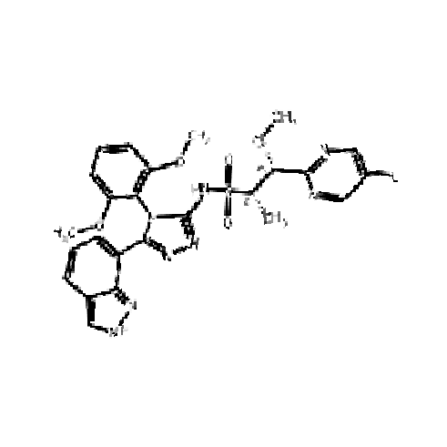 COc1cccc(OC)c1-n1c(NS(=O)(=O)[C@@H](C)[C@H](OC)c2ncc(Cl)cn2)nnc1-c1cccc2c[nH]nc12